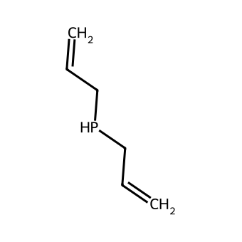 C=CCPCC=C